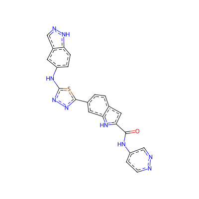 O=C(Nc1ccnnc1)c1cc2ccc(-c3nnc(Nc4ccc5[nH]ncc5c4)s3)cc2[nH]1